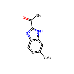 COc1ccc2nc(C(=O)C(C)(C)C)[nH]c2c1